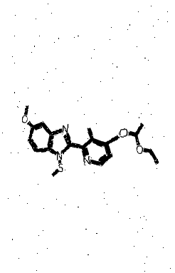 CCOC(C)Oc1ccnc(-c2nc3cc(OC)ccc3n2SC)c1C